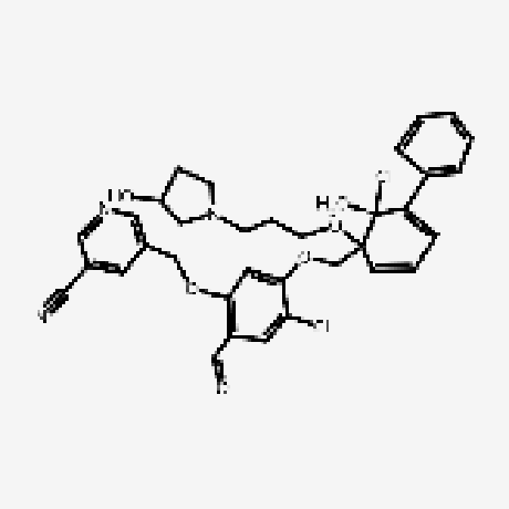 C[C@@]1(Cl)C(c2ccccc2)=CC=CC1(COc1cc(OCc2cncc(C#N)c2)c(C=O)cc1Cl)OCCCN1CCC(O)C1